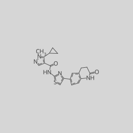 Cn1ncc(C(=O)Nc2nc(-c3ccc4c(c3)CCC(=O)N4)cs2)c1C1CC1